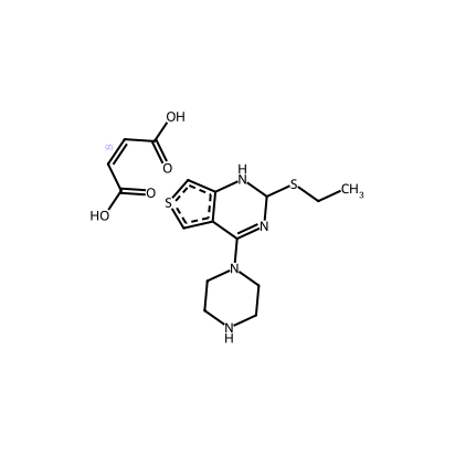 CCSC1N=C(N2CCNCC2)c2cscc2N1.O=C(O)/C=C\C(=O)O